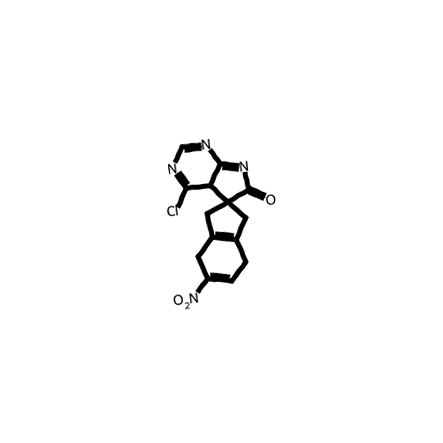 O=C1N=C2N=CN=C(Cl)C2C12CC1=C(CC([N+](=O)[O-])=CC1)C2